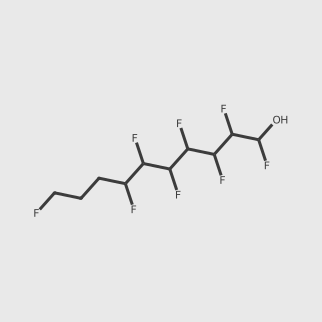 OC(F)C(F)C(F)C(F)C(F)C(F)C(F)CCCF